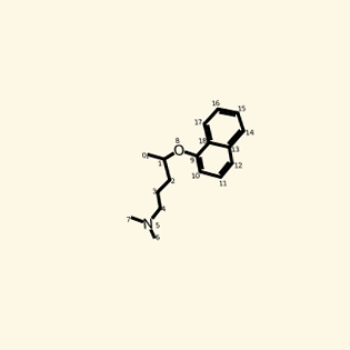 [CH2]C(CCCN(C)C)Oc1cccc2ccccc12